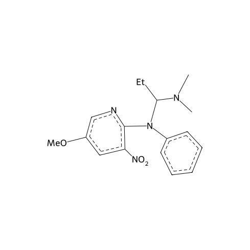 CCC(N(C)C)N(c1ccccc1)c1ncc(OC)cc1[N+](=O)[O-]